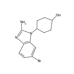 Nc1nc2ccc(Br)cc2n1C1CCC(O)CC1